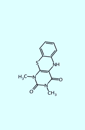 Cn1c2c(c(=O)n(C)c1=O)Nc1ccccc1S2